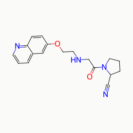 N#CC1CCCN1C(=O)CNCCOc1ccc2ncccc2c1